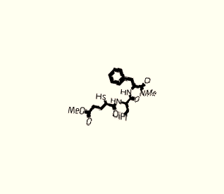 CNC(=O)C(Cc1ccccc1)NC(=O)C(CC(C)C)NC(=O)C(S)CCC(=O)OC